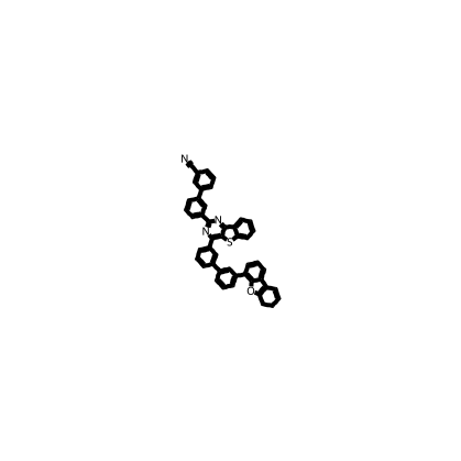 N#Cc1cccc(-c2cccc(-c3nc(-c4cccc(-c5cccc(-c6cccc7c8c(oc67)CCC=C8)c5)c4)c4sc5ccccc5c4n3)c2)c1